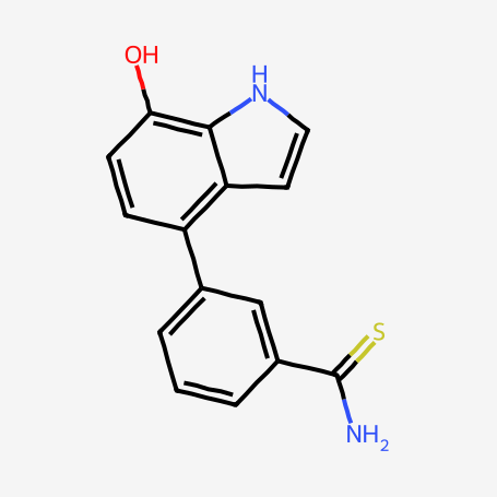 NC(=S)c1cccc(-c2ccc(O)c3[nH]ccc23)c1